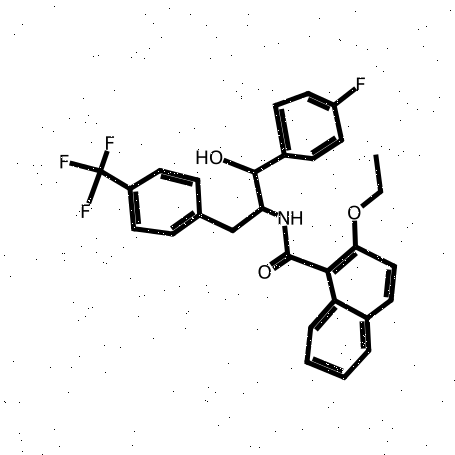 CCOc1ccc2ccccc2c1C(=O)NC(Cc1ccc(C(F)(F)F)cc1)C(O)c1ccc(F)cc1